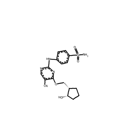 N#Cc1cnc(Nc2ccc(S(N)(=O)=O)cc2)nc1OC[C@@H]1CCC[C@@H]1O